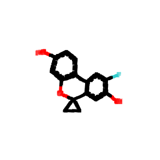 Oc1ccc2c(c1)OC1(CC1)c1cc(O)c(F)cc1-2